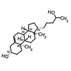 CC(O)CCC[C@H]1CC[C@H]2[C@@H]3CC=C4C[C@@H](O)CC[C@]4(C)[C@H]3CC[C@]12C